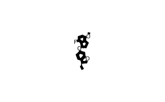 CC[C@@H]1COc2cc(O[C@@H]3CCc4c(OC)ccc(F)c43)ccc21